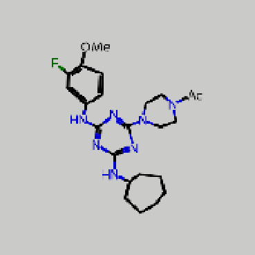 COc1ccc(Nc2nc(NC3CCCCCC3)nc(N3CCN(C(C)=O)CC3)n2)cc1F